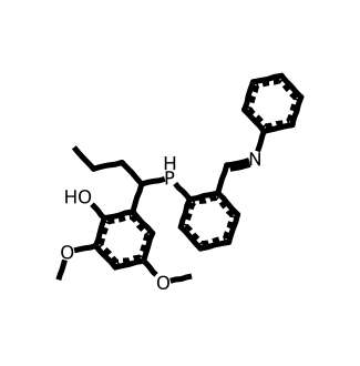 CCCC(Pc1ccccc1/C=N/c1ccccc1)c1cc(OC)cc(OC)c1O